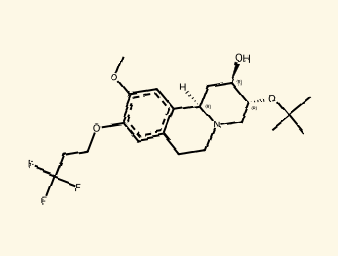 COc1cc2c(cc1OCCC(F)(F)F)CCN1C[C@@H](OC(C)(C)C)[C@H](O)C[C@H]21